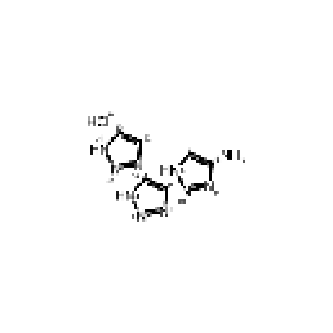 Cl.N.c1c[nH]nn1.c1c[nH]nn1.c1c[nH]nn1